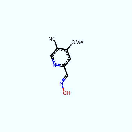 COc1cc(C=NO)ncc1C#N